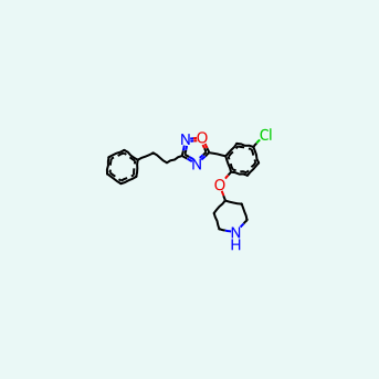 Clc1ccc(OC2CCNCC2)c(-c2nc(CCc3ccccc3)no2)c1